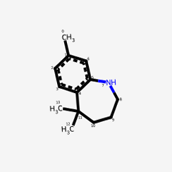 Cc1ccc2c(c1)NCCCC2(C)C